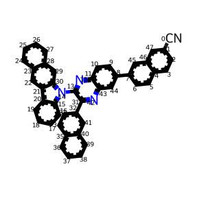 N#Cc1ccc2ccc(-c3ccc4nc(-n5c6ccccc6c6cc7ccccc7cc65)c(-c5ccc6ccccc6c5)nc4c3)cc2c1